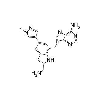 Cn1cc(-c2cc(Cn3cnc4c(N)ncnc43)c3[nH]c(CN)cc3c2)cn1